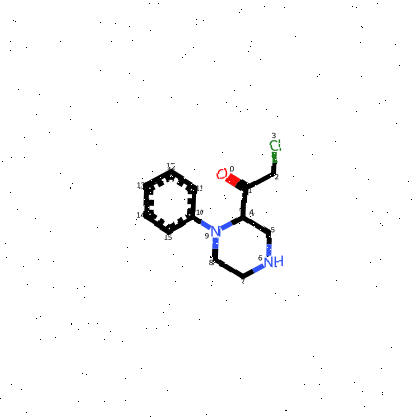 O=C(CCl)C1CNCCN1c1ccccc1